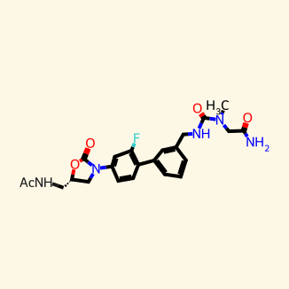 CC(=O)NC[C@H]1CN(c2ccc(-c3cccc(CNC(=O)N(C)CC(N)=O)c3)c(F)c2)C(=O)O1